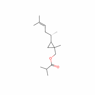 CC(C)=CC[C@H](C)C1CC1(C)COC(=O)C(C)C